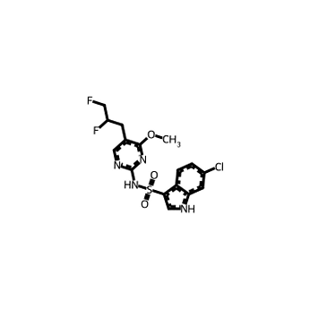 COc1nc(NS(=O)(=O)c2c[nH]c3cc(Cl)ccc23)ncc1CC(F)CF